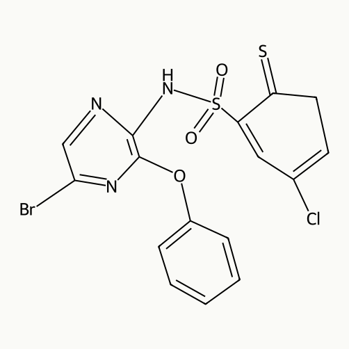 O=S(=O)(Nc1ncc(Br)nc1Oc1ccccc1)C1=CC(Cl)=CCC1=S